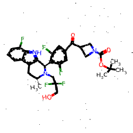 C[C@@H]1Cc2c([nH]c3c(F)cccc23)[C@@H](c2c(F)cc(C(=O)C3CN(C(=O)OC(C)(C)C)C3)cc2F)N1CC(F)(F)CO